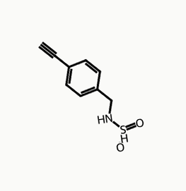 C#Cc1ccc(CN[SH](=O)=O)cc1